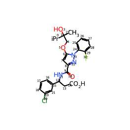 CC(C)C(C)(O)COc1cc(C(=O)NC(CC(=O)O)c2cccc(Cl)c2)nn1-c1ccccc1F